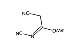 COC(CC#N)=NC#N